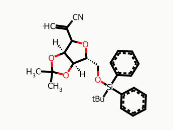 [CH]=C(C#N)C1O[C@H](CO[Si](c2ccccc2)(c2ccccc2)C(C)(C)C)[C@H]2OC(C)(C)O[C@@H]12